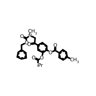 Cc1ccc(C(=O)Oc2ccc(C(=O)CN(C)C(=O)OCc3ccccc3)cc2OC(=O)C(C)C)cc1